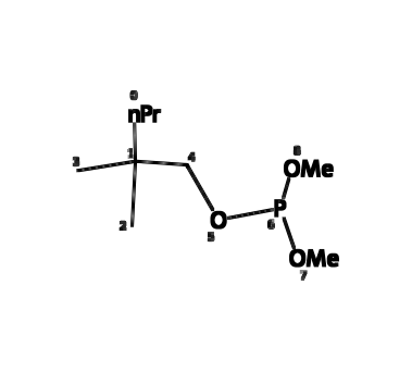 CCCC(C)(C)COP(OC)OC